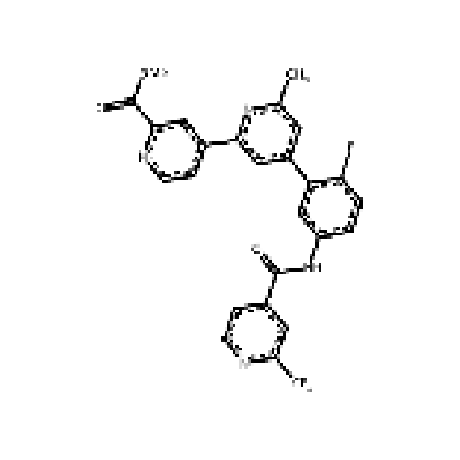 CNC(=O)c1cc(-c2cc(-c3cc(NC(=O)c4ccnc(C(F)(F)F)c4)ccc3F)cc(C)n2)ccn1